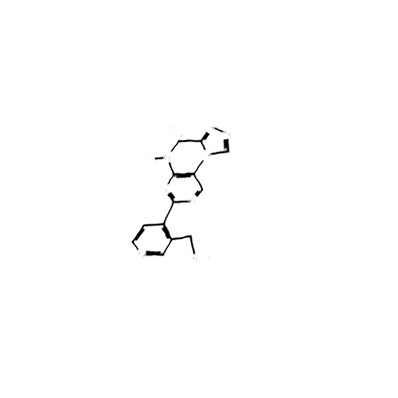 CC[C@@H]1c2nncn2-c2cnc(-c3ccncc3CNC(C)=O)nc2N1C(C)C